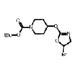 CC(C)(C)OC(=O)N1CCC(OC2=NCC(Br)O2)CC1